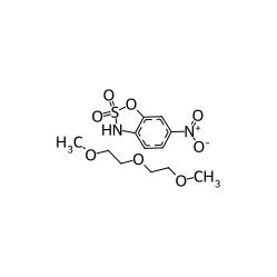 COCCOCCOC.O=[N+]([O-])c1ccc2c(c1)OS(=O)(=O)N2